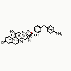 C[C@]12C=CC(=O)C=C1CC[C@@H]1[C@@H]2[C@@H](O)C[C@@]2(C)[C@H]1C[C@H]1O[C@@H](c3ccc(CC45CCC(N)(CC4)CC5)cc3)O[C@]12C(=O)CO